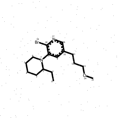 CCC1CCCCN1c1cc(CCCOC)cnc1Br